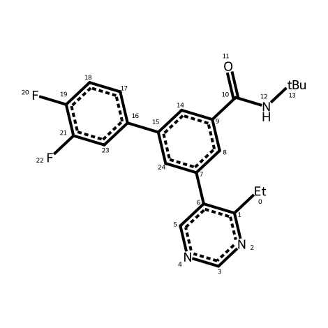 CCc1ncncc1-c1cc(C(=O)NC(C)(C)C)cc(-c2ccc(F)c(F)c2)c1